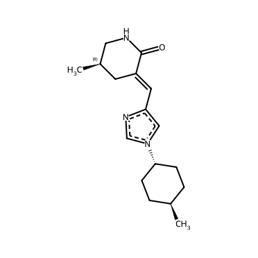 C[C@H]1CNC(=O)C(=Cc2cn([C@H]3CC[C@H](C)CC3)cn2)C1